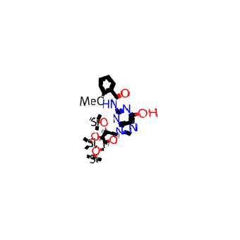 COc1ccccc1C(=O)Nc1nc(O)c2ncn([C@@H]3O[C@H](CO[Si](C)(C)C)[C@@H](O[Si](C)(C)C)[C@@H]3O[Si](C)(C)C)c2n1